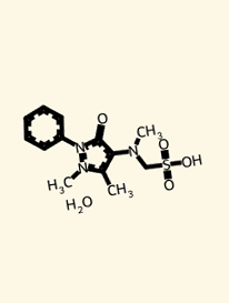 Cc1c(N(C)CS(=O)(=O)O)c(=O)n(-c2ccccc2)n1C.O